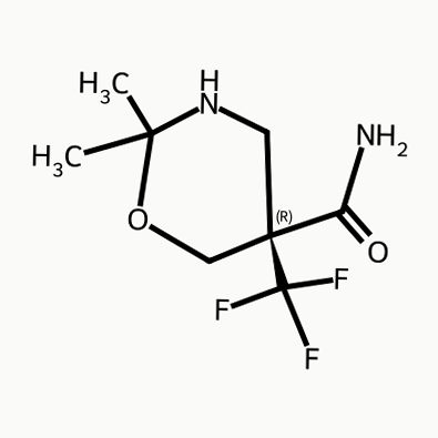 CC1(C)NC[C@@](C(N)=O)(C(F)(F)F)CO1